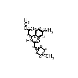 COC(=O)CC(NC(=O)CN1CCN(C)CC1)c1ccc(N)cc1